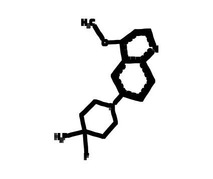 COc1ccnc2ccc(N3CCC(F)(P)CC3)cc12